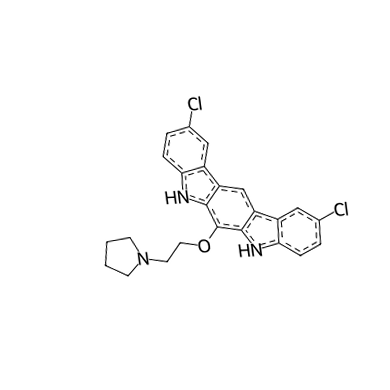 Clc1ccc2[nH]c3c(OCCN4CCCC4)c4[nH]c5ccc(Cl)cc5c4cc3c2c1